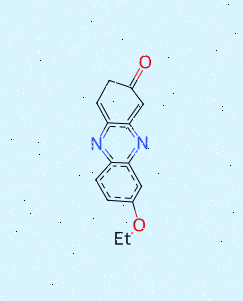 CCOc1ccc2nc3c(nc2c1)=CC(=O)CC=3